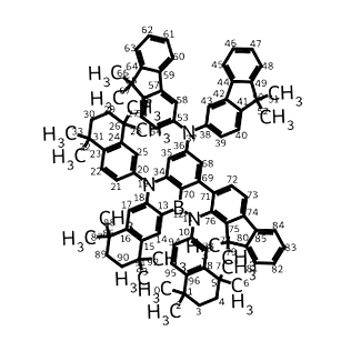 CC1(C)CCC(C)(C)c2cc(N3B4c5cc6c(cc5N(c5ccc7c(c5)C(C)(C)CCC7(C)C)c5cc(N(c7ccc8c(c7)-c7ccccc7C8(C)C)c7ccc8c(c7)-c7ccccc7C8(C)C)cc(c54)-c4ccc5c(c43)C(C)(C)c3ccccc3-5)C(C)(C)CCC6(C)C)ccc21